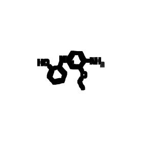 CCOc1ccccc1N.Nc1ccccc1O